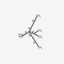 CCCCCOC(=O)CCCCCCCC(=O)OCC(COC(=O)CCCCCCCC(=O)OCCCCC)(COC(=O)CCCN(C)C)COC(=O)CC(CCCCC)CCCCC